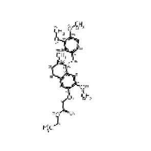 CCOC(=O)COc1cc2c(cc1OC)[C@@H](Cc1ccc(OC)c(OC)c1)N(C)CC2